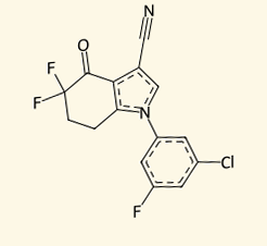 N#Cc1cn(-c2cc(F)cc(Cl)c2)c2c1C(=O)C(F)(F)CC2